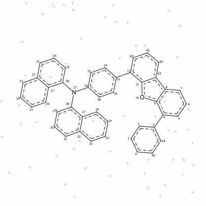 c1ccc(-c2cccc3c2oc2c(-c4ccc(N(c5cccc6ccccc56)c5cccc6ccccc56)cc4)cccc23)cc1